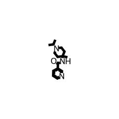 CC(C)N1CCC(C)(NC(=O)c2cccnc2)CC1